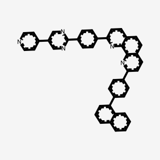 c1ccc2c(-c3ccc(-c4ccc5ccc6ccc(-c7ccc(-c8ncc(-c9ccncc9)cn8)cc7)nc6c5n4)cc3)cccc2c1